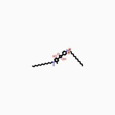 CCCCCCCCCCCCCNc1cc(O)c(C2=C(O)C(=C3C=CC(=NS(=O)(=O)CCCCCCCCCCCC)C=C3)C2=O)cc1C